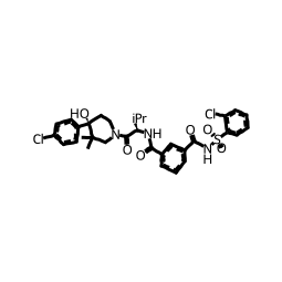 CC(C)[C@@H](NC(=O)c1cccc(C(=O)NS(=O)(=O)c2ccccc2Cl)c1)C(=O)N1CC[C@](O)(c2ccc(Cl)cc2)C(C)(C)C1